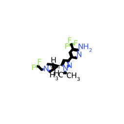 CC(C)n1nc(-c2cnc(N)c(C(F)(F)F)c2)cc1[C@@H]1[C@@H]2CN(CC(F)F)C[C@@H]21